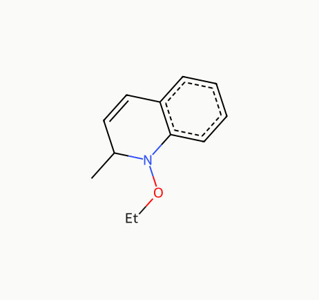 CCON1c2ccccc2C=CC1C